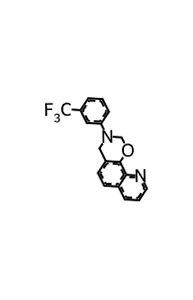 FC(F)(F)c1cccc(N2COc3c(ccc4cccnc34)C2)c1